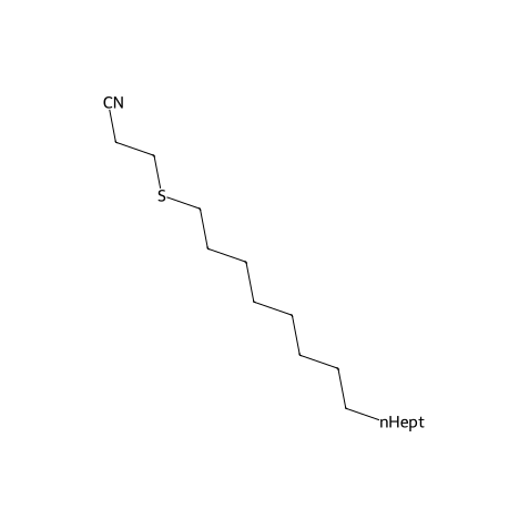 CCCCCCCCCCCCCCCSCCC#N